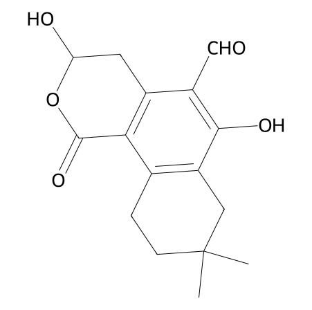 CC1(C)CCc2c(c(O)c(C=O)c3c2C(=O)OC(O)C3)C1